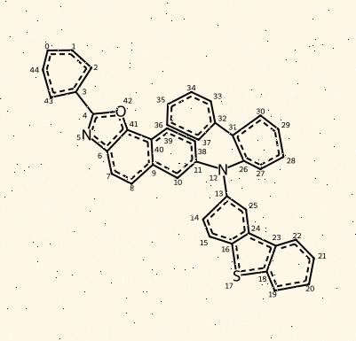 c1ccc(-c2nc3ccc4cc(N(c5ccc6sc7ccccc7c6c5)c5ccccc5-c5ccccc5)ccc4c3o2)cc1